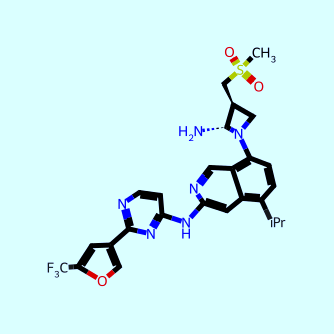 CC(C)c1ccc(N2C[C@H](CS(C)(=O)=O)[C@H]2N)c2cnc(Nc3ccnc(-c4coc(C(F)(F)F)c4)n3)cc12